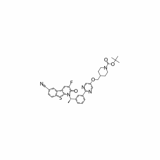 C[C@H](c1cccc(-c2ncc(OCC3CCN(C(=O)OC(C)(C)C)CC3)cn2)c1)n1c(=O)c(F)cc2c3cc(C#N)ccc3sc21